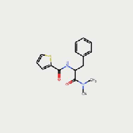 CN(C#N)C(=O)C(Cc1ccccc1)NC(=O)c1cccs1